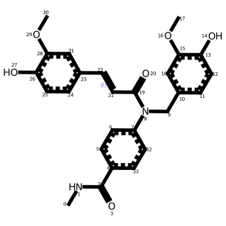 CNC(=O)c1ccc(N(Cc2ccc(O)c(OC)c2)C(=O)/C=C/c2ccc(O)c(OC)c2)cc1